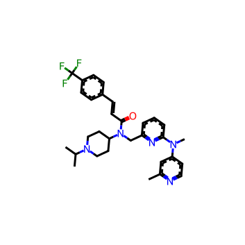 Cc1cc(N(C)c2cccc(CN(C(=O)C=Cc3ccc(C(F)(F)F)cc3)C3CCN(C(C)C)CC3)n2)ccn1